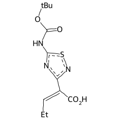 CC/C=C(\C(=O)O)c1nsc(NC(=O)OC(C)(C)C)n1